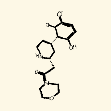 O=C(C[C@H]1C[C@@H](C2C(O)=CC=C(Cl)C2Cl)CCN1)N1CCOCC1